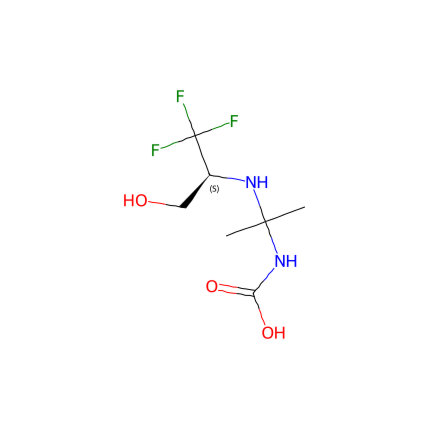 CC(C)(NC(=O)O)N[C@@H](CO)C(F)(F)F